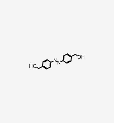 OCc1ccc(/N=N/c2ccc(CO)cc2)cc1